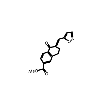 COC(=O)c1ccc2c(c1)CC/C(=C\c1ccno1)C2=O